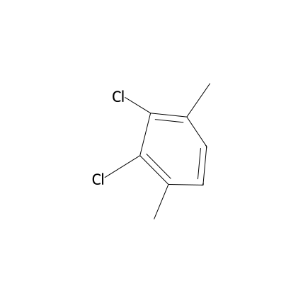 Cc1ccc(C)c(Cl)c1Cl